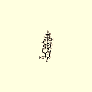 C[C@]12C=CC(=O)C(O)=C1CC[C@@H]1[C@@H]2CC[C@@]2(C)[C@H]1CC[C@@]2(O)C(F)(F)C(F)(F)F